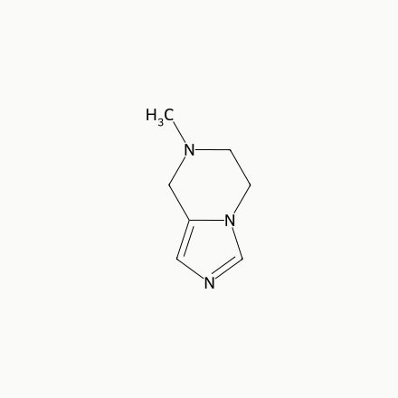 CN1CCn2cncc2C1